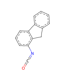 O=C=Nc1cccc2c1Cc1ccccc1-2